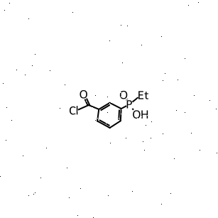 CCP(=O)(O)c1cccc(C(=O)Cl)c1